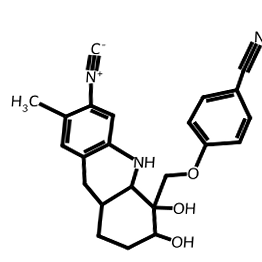 [C-]#[N+]c1cc2c(cc1C)CC1CCC(O)C(O)(COc3ccc(C#N)cc3)C1N2